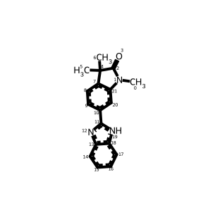 CN1C(=O)C(C)(C)c2ccc(-c3nc4ccccc4[nH]3)cc21